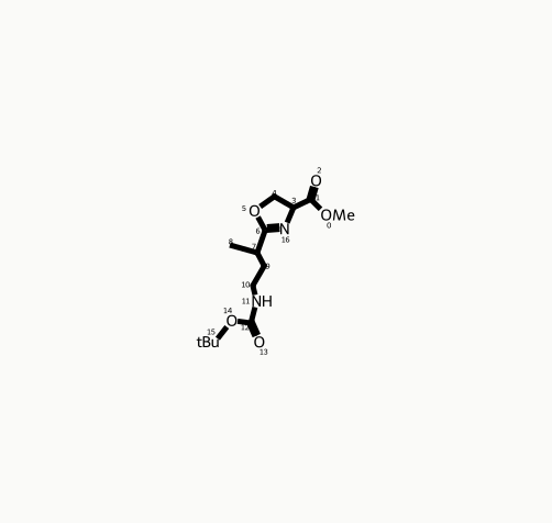 COC(=O)C1COC(C(C)CCNC(=O)OC(C)(C)C)=N1